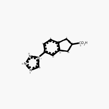 O=C(O)C1Cc2ccc(-n3cnnn3)cc2C1